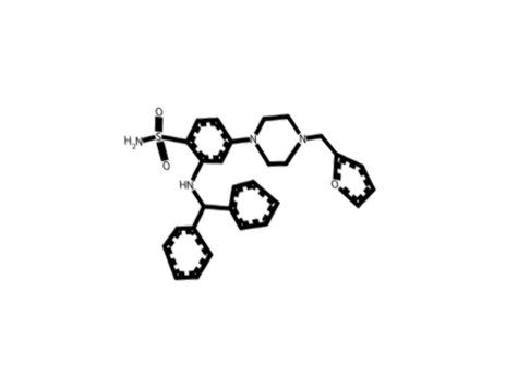 NS(=O)(=O)c1ccc(N2CCN(Cc3ccco3)CC2)cc1NC(c1ccccc1)c1ccccc1